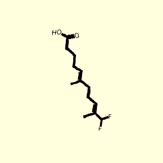 C/C(=C\CCCC(=O)O)CC/C=C(\C)C(F)F